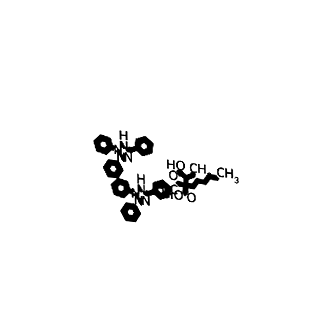 CCCCCCC(CC)(C(=O)O)C(CC)C(=O)O.c1ccc(C2=NN(c3ccccc3)N(c3ccccc3)N2)cc1.c1ccc(C2=NN(c3ccccc3)N(c3ccccc3)N2)cc1